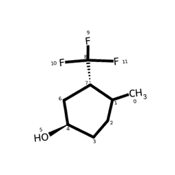 CC1CC[C@@H](O)C[C@@H]1C(F)(F)F